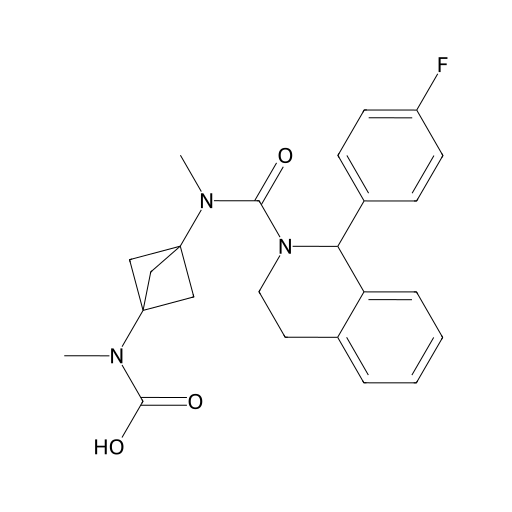 CN(C(=O)O)C12CC(N(C)C(=O)N3CCc4ccccc4C3c3ccc(F)cc3)(C1)C2